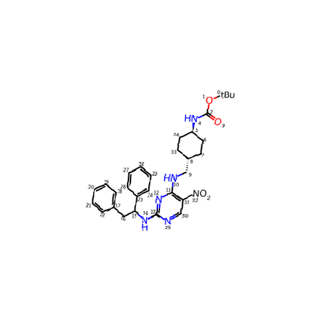 CC(C)(C)OC(=O)N[C@H]1CC[C@H](CNc2nc(NC(Cc3ccccc3)c3ccccc3)ncc2[N+](=O)[O-])CC1